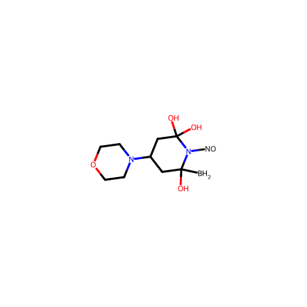 BC1(O)CC(N2CCOCC2)CC(O)(O)N1N=O